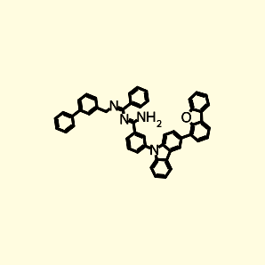 N/C(=N\C(=N/Cc1cccc(-c2ccccc2)c1)c1ccccc1)c1cccc(-n2c3ccccc3c3cc(-c4cccc5c4oc4ccccc45)ccc32)c1